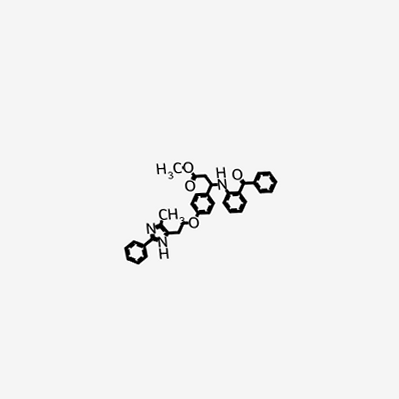 COC(=O)CC(Nc1ccccc1C(=O)c1ccccc1)c1ccc(OCCc2[nH]c(-c3ccccc3)nc2C)cc1